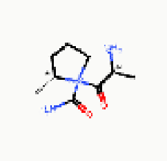 C[C@H](N)C(=O)[N+]1(C(N)=O)CCC[C@H]1C